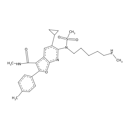 CNC(=O)c1c(-c2ccc(C)cc2)oc2nc(N(CCCCCPC)S(C)(=O)=O)c(C3CC3)cc12